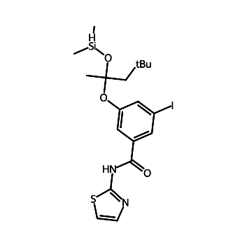 C[SiH](C)OC(C)(CC(C)(C)C)Oc1cc(I)cc(C(=O)Nc2nccs2)c1